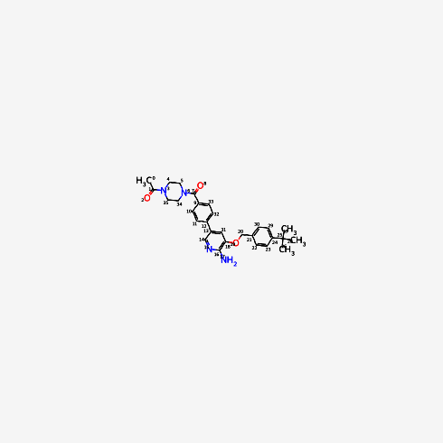 CC(=O)N1CCN(C(=O)c2ccc(-c3cnc(N)c(OCc4ccc(C(C)(C)C)cc4)c3)cc2)CC1